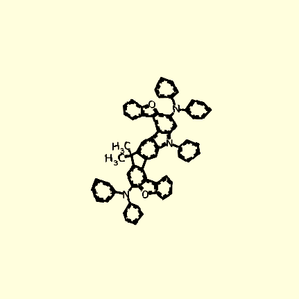 CC1(C)c2cc3c4c5c(oc6ccccc65)c(N(c5ccccc5)c5ccccc5)cc4n(-c4ccccc4)c3cc2-c2c1cc(N(c1ccccc1)c1ccccc1)c1oc3ccccc3c21